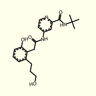 CC(C)(C)NC(=O)c1cc(NC(=O)Cc2c(O)cccc2CCCO)ccn1